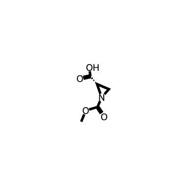 COC(=O)N1C[C@H]1C(=O)O